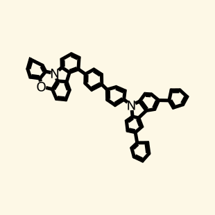 c1ccc(-c2ccc3c(c2)c2cc(-c4ccccc4)ccc2n3-c2ccc(-c3ccc(-c4cccc5c4c4cccc6c4n5-c4ccccc4O6)cc3)cc2)cc1